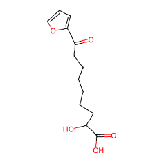 O=C(CCCCCCC(O)C(=O)O)c1ccco1